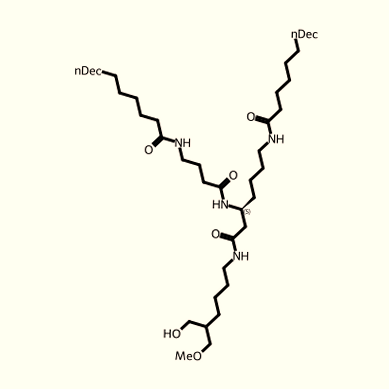 CCCCCCCCCCCCCCCC(=O)NCCCC[C@@H](CC(=O)NCCCCC(CO)COC)NC(=O)CCCNC(=O)CCCCCCCCCCCCCCC